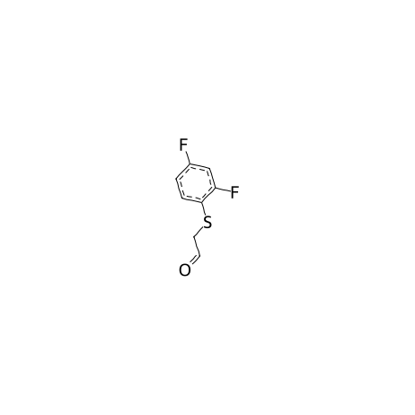 O=CCSc1ccc(F)cc1F